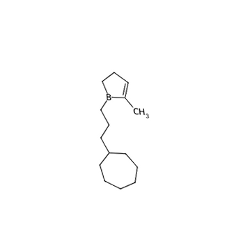 CC1=CCCB1CCCC1CCCCCC1